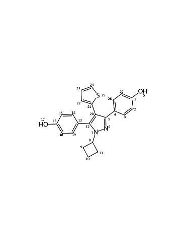 Oc1ccc(-c2nn(C3CCC3)c(-c3ccc(O)cc3)c2-c2cccs2)cc1